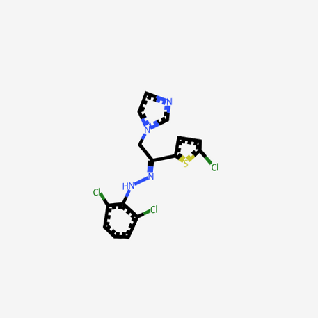 Clc1ccc(/C(Cn2ccnc2)=N/Nc2c(Cl)cccc2Cl)s1